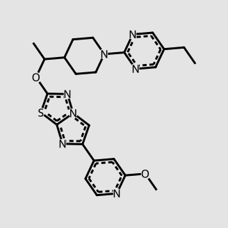 CCc1cnc(N2CCC(C(C)Oc3nn4cc(-c5ccnc(OC)c5)nc4s3)CC2)nc1